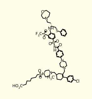 C[C@@]1(CN2CCN(S(=O)(=O)CCCCCCC(=O)O)CC2)CCC(c2ccc(Cl)cc2)=C(CN2CCN(c3ccc(C(=O)NS(=O)(=O)c4ccc(N[C@H](CCN5CCCOCC5)CSc5ccccc5)c(S(=O)(=O)C(F)(F)F)c4)cc3)CC2)C1